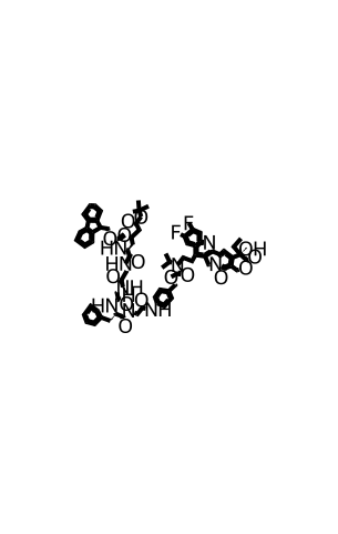 CC[C@@]1(O)C(=O)OCc2c1cc1n(c2=O)Cc2c-1nc1cc(F)c(F)cc1c2CCN(C(=O)OCc1ccc(NC(=O)CNC(=O)[C@H](Cc2ccccc2)NC(=O)CNC(=O)CNC(=O)[C@H](CCCC(=O)OC(C)(C)C)NC(=O)OCC2c3ccccc3-c3ccccc32)cc1)C(C)C